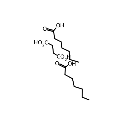 CCCCCCC(=O)O.CCCCCCC(=O)O.O=C(O)CCC(=O)O